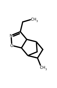 CCC1=NOC2C3CC(CC3C)C12